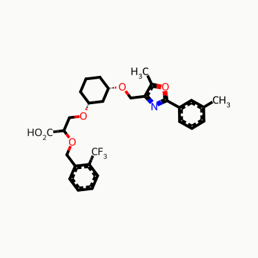 Cc1cccc(-c2nc(CO[C@H]3CCC[C@@H](OCC(OCc4ccccc4C(F)(F)F)C(=O)O)C3)c(C)o2)c1